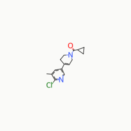 Cc1cc(C2=CCN(C(=O)C3CC3)CC2)cnc1Cl